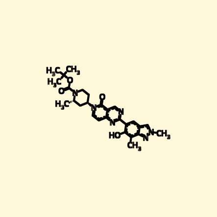 Cc1c(O)c(-c2ncc3c(=O)n([C@@H]4CCN(C(=O)OC(C)(C)C)[C@@H](C)C4)ccc3n2)cc2cn(C)nc12